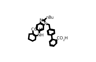 CCCCc1nc2ccc(NC3=C(C(=O)O)CCCC3)cc2n1Cc1ccc(-c2ccccc2C(=O)O)cc1